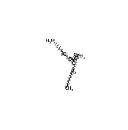 CCCCCCCCCC/C=C/C(=O)OCCCc1ccc(N(c2ccc(CCCOC(=O)/C=C/CCCCCCCCCC)cc2)c2ccc(C)c(C)c2)cc1